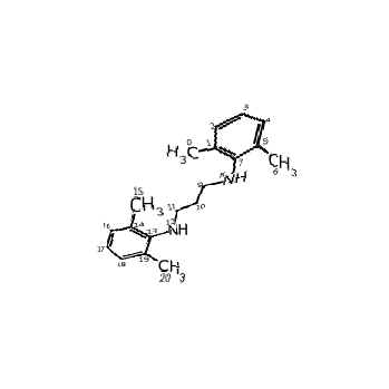 Cc1cccc(C)c1NCCCNc1c(C)cccc1C